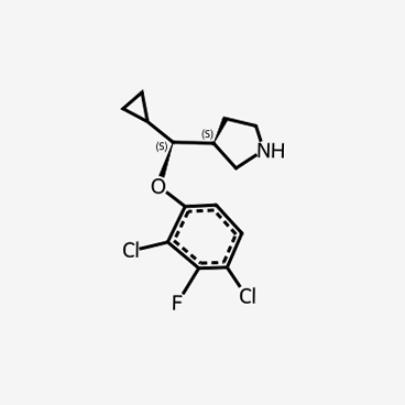 Fc1c(Cl)ccc(O[C@@H](C2CC2)[C@H]2CCNC2)c1Cl